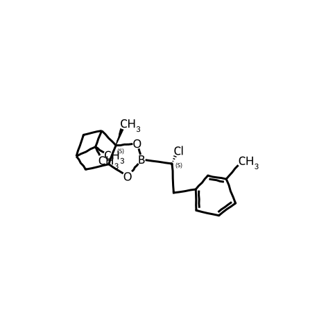 Cc1cccc(C[C@@H](Cl)B2OC3CC4CC(C4(C)C)[C@]3(C)O2)c1